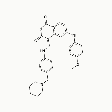 COc1ccc(Nc2ccc3c(c2)C(=CNc2ccc(CN4CCCCC4)cc2)C(=O)NC3=O)cc1